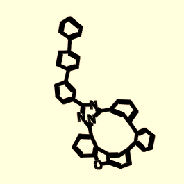 c1ccc(-c2ccc(-c3cccc(-c4nc5nc(n4)c4cccc6oc7ccc(cc7c64)c4ccccc4c4cccc5c4)c3)cc2)cc1